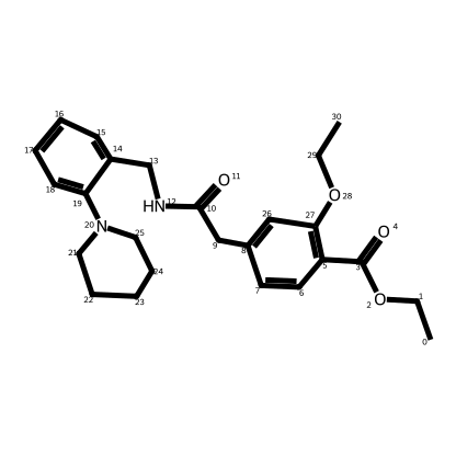 CCOC(=O)c1ccc(CC(=O)NCc2ccccc2N2CCCCC2)cc1OCC